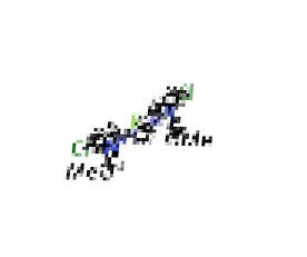 COC(C)CCN1/C(=C/C=C2\CCCC(/C=C/C3=[N+](CCC(C)OC)c4cc(Cl)ccc4C3(C)C)=C2F)C(C)(C)c2ccc(Cl)cc21